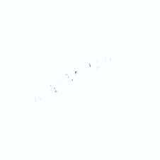 N[C@@H](CCC(=O)N1C[C@H](OCc2ccc(COCCF)cc2)C[C@H]1C(=O)O)C(=O)O